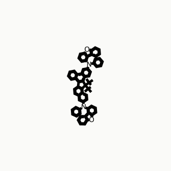 CC(C)(C)C1(C(C)(C)C)c2c(ccc3cc(N(c4ccccc4)c4cccc5oc6ccccc6c45)ccc23)-c2c1c1ccc(N(c3ccccc3)c3cccc4oc5ccccc5c34)cc1c1ccccc21